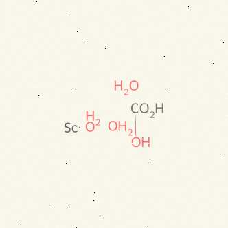 O.O.O.O=C(O)O.[Sc]